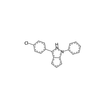 Clc1ccc(-c2[nH]n(-c3ccccc3)c3cccc2-3)cc1